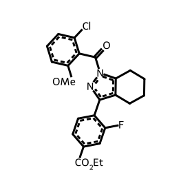 CCOC(=O)c1ccc(-c2nn(C(=O)c3c(Cl)cccc3OC)c3c2CCCC3)c(F)c1